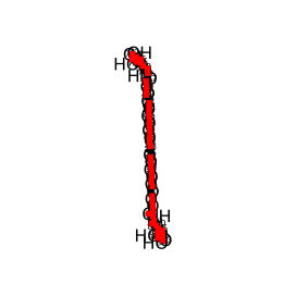 O=C(CCOCCOCCOCCOCCOCCOCCOCCOCCSSCCOCCOCCOCCOCCOCCOCCOCCOCCC(=O)NCc1ccc(-c2ccc3nc(C(=O)O)cc(O)c3c2)cc1)NCc1ccc(-c2ccc3nc(C(=O)O)cc(O)c3c2)cc1